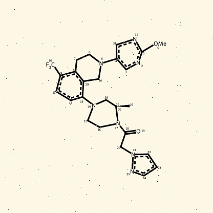 COc1ncc(N2CCc3c(C(F)(F)F)ccc(N4CCN(C(=O)Cn5cccn5)[C@H](C)C4)c3C2)cn1